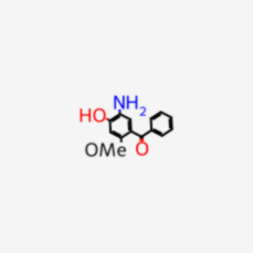 COc1cc(O)c(N)cc1C(=O)c1ccccc1